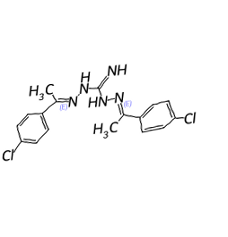 C/C(=N\NC(=N)N/N=C(\C)c1ccc(Cl)cc1)c1ccc(Cl)cc1